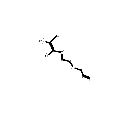 C=CCOCCO/C(CC)=C(\C)C(=O)O